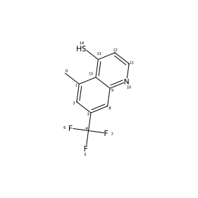 Cc1cc(C(F)(F)F)cc2nccc(S)c12